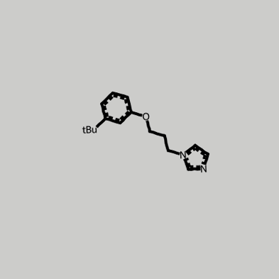 CC(C)(C)c1cccc(OCCCn2ccnc2)c1